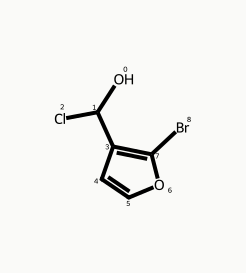 OC(Cl)c1ccoc1Br